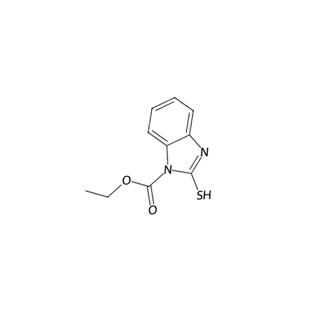 CCOC(=O)n1c(S)nc2ccccc21